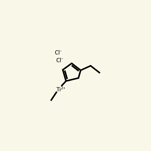 CCC1=CC=[C]([Ti+2][CH3])C1.[Cl-].[Cl-]